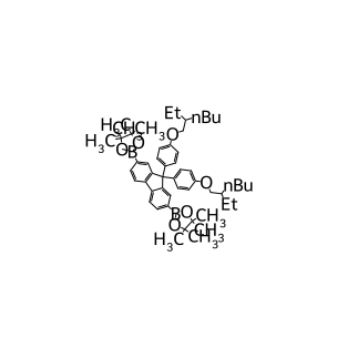 CCCCC(CC)COc1ccc(C2(c3ccc(OCC(CC)CCCC)cc3)c3cc(B4OC(C)(C)C(C)(C)O4)ccc3-c3ccc(B4OC(C)(C)C(C)(C)O4)cc32)cc1